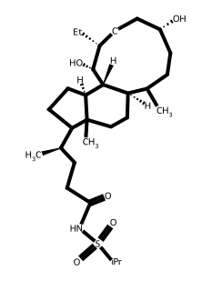 CC[C@@H]1CC[C@H](O)CCC(C)[C@H]2CCC3(C)C([C@H](C)CCC(=O)NS(=O)(=O)C(C)C)CC[C@H]3[C@@H]2[C@@H]1O